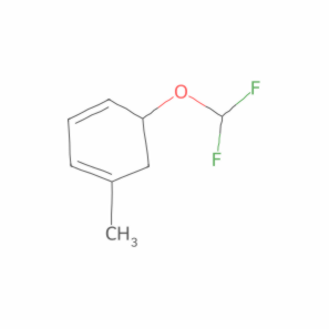 CC1=CC=CC(OC(F)F)C1